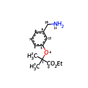 CCOC(=O)C(C)(C)Oc1cccc(CN)c1